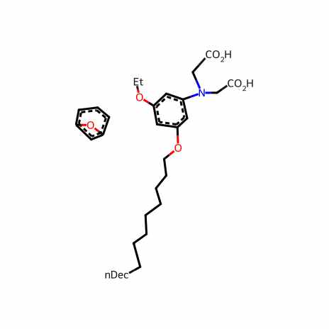 CCCCCCCCCCCCCCCCCCOc1cc(OCC)cc(N(CC(=O)O)CC(=O)O)c1.c1cc2cc(c1)O2